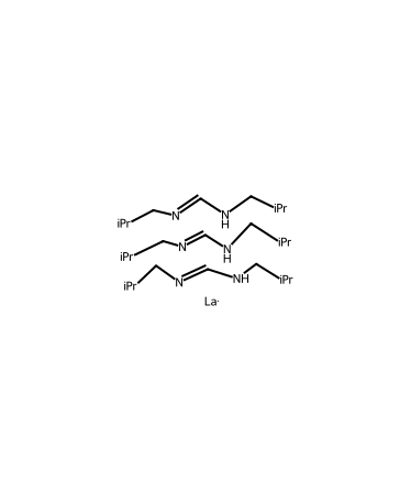 CC(C)CN=CNCC(C)C.CC(C)CN=CNCC(C)C.CC(C)CN=CNCC(C)C.[La]